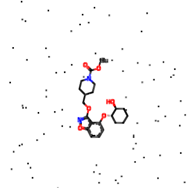 CC(C)(C)OC(=O)N1CCC(COc2noc3cccc(O[C@H]4CCCC[C@@H]4O)c23)CC1